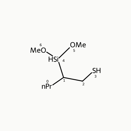 CCCC(CS)[SiH](OC)OC